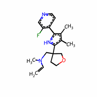 C=CN(C)CC1(c2[nH]c(-c3ccncc3F)c(C)c2C)CCOC1